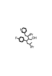 CC(C)C(C)CC(c1ccc(F)cc1)C(CO)C(Cc1cccnc1)C(C)C